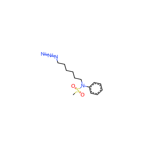 CS(=O)(=O)N(CCCCCCN=[N+]=[N-])c1ccccc1